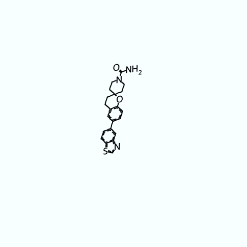 NC(=O)N1CCC2(CCc3cc(-c4ccc5scnc5c4)ccc3O2)CC1